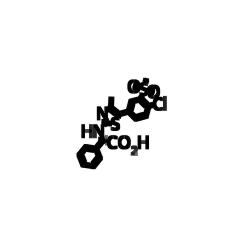 Cc1nc(N[C@H](C(=O)O)c2ccccc2)sc1-c1ccc(Cl)c(S(C)(=O)=O)c1